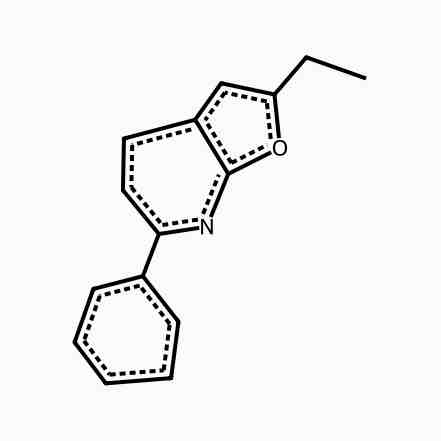 CCc1cc2ccc(-c3ccccc3)nc2o1